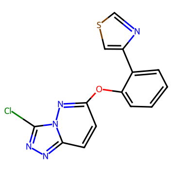 Clc1nnc2ccc(Oc3ccccc3-c3cscn3)nn12